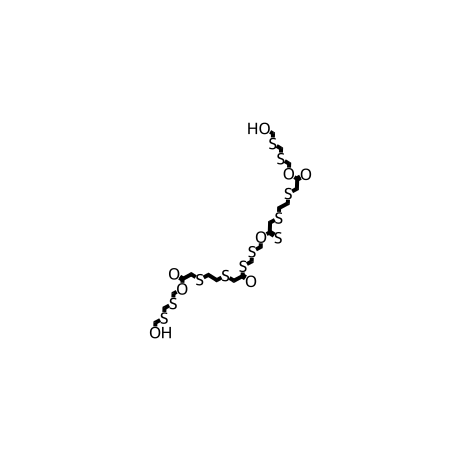 O=C(CSCCSCC(=O)SCSCOC(=S)CSCCSCC(=O)OCSCSCO)OCSCSCO